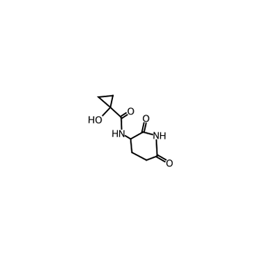 O=C1CCC(NC(=O)C2(O)CC2)C(=O)N1